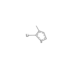 [Li][c]1sccc1C